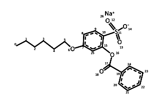 CCCCCCOc1ccc(S(=O)(=O)[O-])c(OC(=O)c2ccccc2)c1.[Na+]